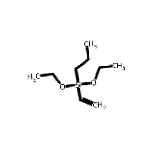 C=C[Si](CCC)(OCC)OCC